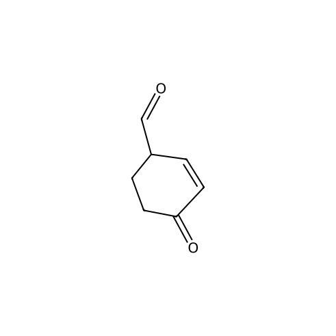 O=CC1C=CC(=O)CC1